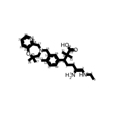 CCN/C=C(\N)CCC(c1ccc(C)c(CN2Cc3ncccc3OC(C)(C)C2)c1)C(C)(C)C(=O)O